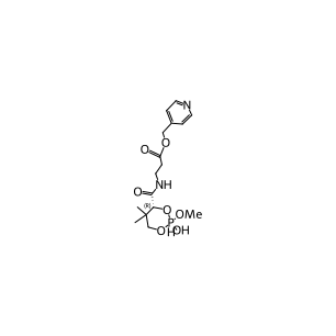 CO[PH]1(O)OCC(C)(C)[C@H](C(=O)NCCC(=O)OCc2ccncc2)O1